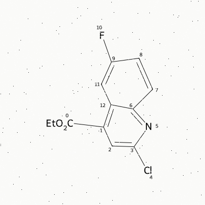 CCOC(=O)c1cc(Cl)nc2ccc(F)cc12